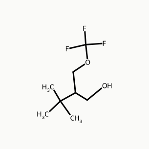 CC(C)(C)C(CO)COC(F)(F)F